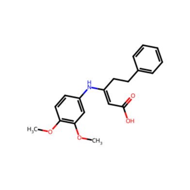 COc1ccc(NC(=CC(=O)O)CCc2ccccc2)cc1OC